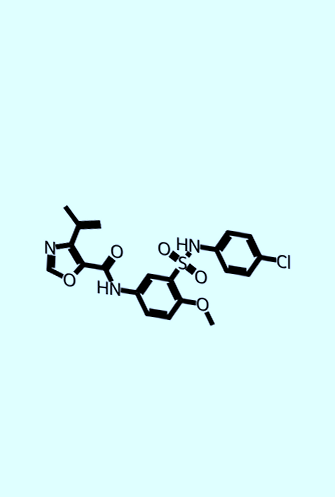 C=C(C)c1ncoc1C(=O)Nc1ccc(OC)c(S(=O)(=O)Nc2ccc(Cl)cc2)c1